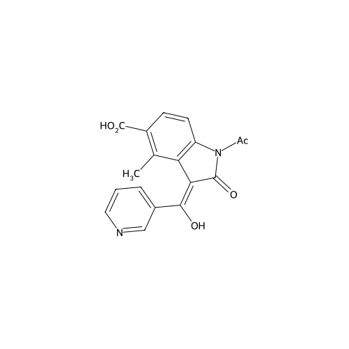 CC(=O)N1C(=O)C(=C(O)c2cccnc2)c2c1ccc(C(=O)O)c2C